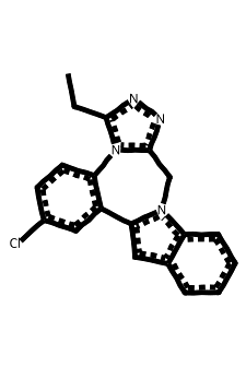 CCc1nnc2n1-c1ccc(Cl)cc1-c1cc3ccccc3n1C2